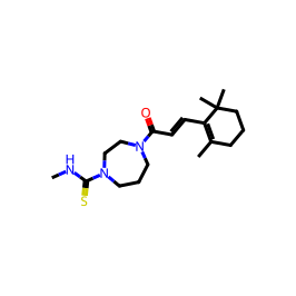 CNC(=S)N1CCCN(C(=O)/C=C/C2=C(C)CCCC2(C)C)CC1